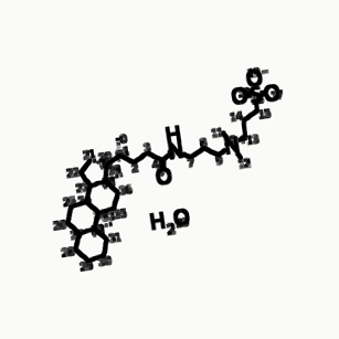 C[C@H](CCC(=O)NCCC[N+](C)(C)CCCS(=O)(=O)[O-])[C@H]1CCC2C3CCC4CCCC[C@]4(C)C3CC[C@@]21C.O